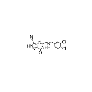 N#Cc1[nH]nc2c(=O)[nH]c(CNCc3ccc(Cl)c(Cl)c3)nc12